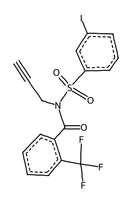 C#CCN(C(=O)c1ccccc1C(F)(F)F)S(=O)(=O)c1cccc(I)c1